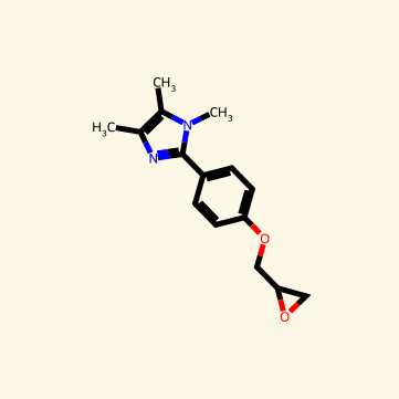 Cc1nc(-c2ccc(OCC3CO3)cc2)n(C)c1C